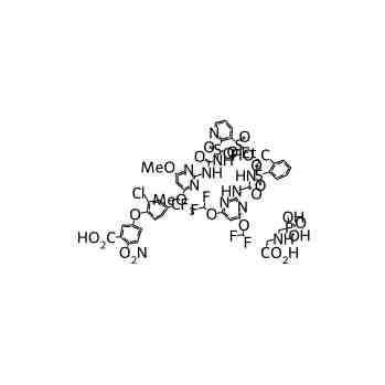 CCS(=O)(=O)c1cccnc1S(=O)(=O)NC(=O)Nc1nc(OC)cc(OC)n1.O=C(Nc1nc(OC(F)F)cc(OC(F)F)n1)NS(=O)(=O)c1ccccc1C(=O)O.O=C(O)CNCP(=O)(O)O.O=C(O)c1cc(Oc2ccc(C(F)(F)F)cc2Cl)ccc1[N+](=O)[O-]